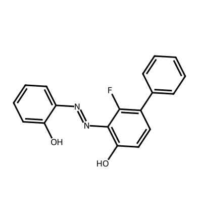 Oc1ccccc1N=Nc1c(O)ccc(-c2ccccc2)c1F